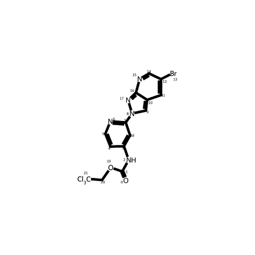 O=C(Nc1ccnc(-n2cc3cc(Br)cnc3n2)c1)OCC(Cl)(Cl)Cl